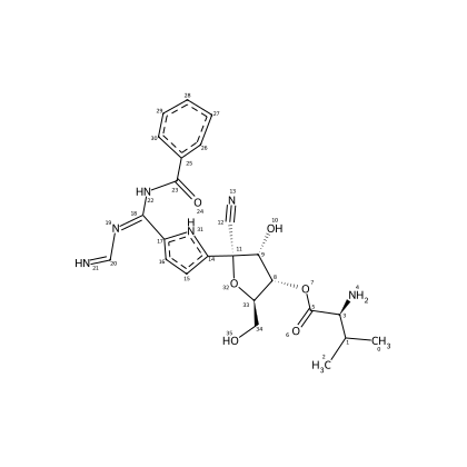 CC(C)[C@H](N)C(=O)O[C@H]1[C@@H](O)[C@](C#N)(c2ccc(/C(=N\C=N)NC(=O)c3ccccc3)[nH]2)O[C@@H]1CO